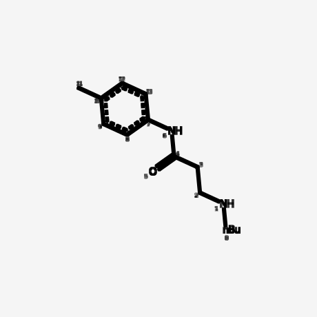 CCCCNCCC(=O)Nc1ccc(C)cc1